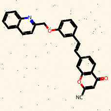 N#Cc1cc(=O)c2ccc(C=Cc3cccc(OCc4ccc5ccccc5n4)c3)cc2o1